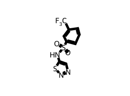 O=S(=O)(Nc1cnns1)c1cccc(C(F)(F)F)c1